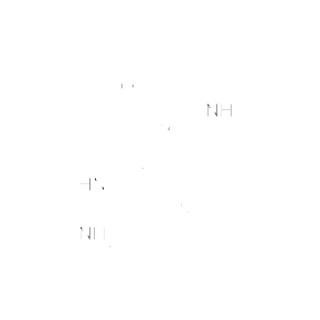 NNC(=S)C(N)=O